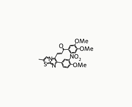 COc1ccc(C(=O)C=Cc2c(-c3ccc(OC)c([N+](=O)[O-])c3)nc3sc(C)cn23)cc1OC